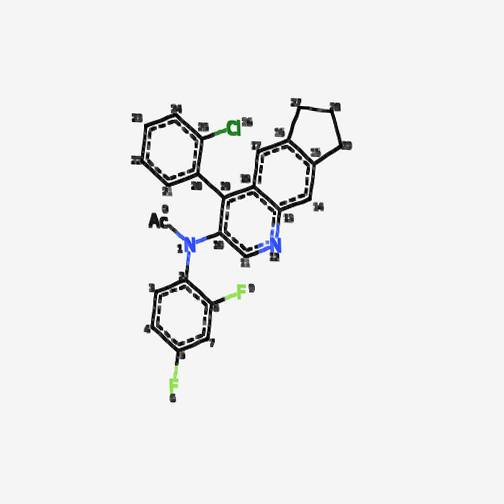 CC(=O)N(c1ccc(F)cc1F)c1cnc2cc3c(cc2c1-c1ccccc1Cl)CCC3